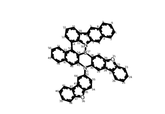 c1ccc2cc3c(cc2c1)c1cccc2c1n3B1c3cc4oc5ccccc5c4cc3N(c3ccc4oc5ccccc5c4c3)c3cc4ccccc4c-2c31